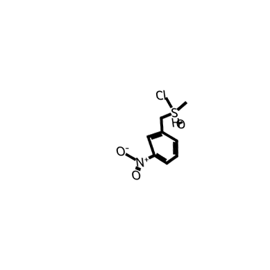 C[SH](=O)(Cl)Cc1cccc([N+](=O)[O-])c1